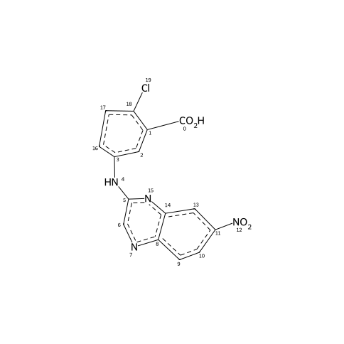 O=C(O)c1cc(Nc2cnc3ccc([N+](=O)[O-])cc3n2)ccc1Cl